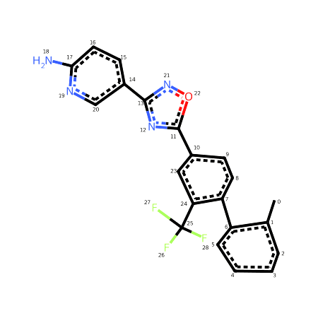 Cc1ccccc1-c1ccc(-c2nc(-c3ccc(N)nc3)no2)cc1C(F)(F)F